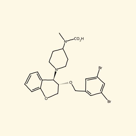 CN(C(=O)O)C1CCN([C@@H]2c3ccccc3OC[C@H]2OCc2cc(Br)cc(Br)c2)CC1